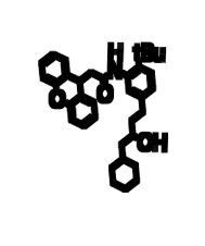 CC(C)(C)c1ccc(CCC(O)CC2CCCCC2)cc1NC(=O)CC1c2ccccc2Oc2ccccc21